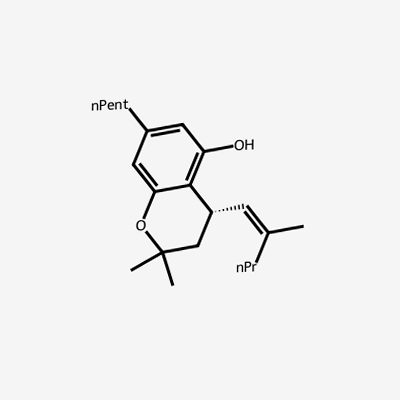 CCCCCc1cc(O)c2c(c1)OC(C)(C)C[C@H]2/C=C(/C)CCC